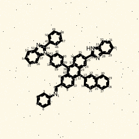 C(=N\c1ccccc1)/c1ccc2c(-c3ccc4ccccc4c3)c3cc(-c4nc5ccccc5[nH]4)ccc3c(-c3ccc(-n4c(-c5ccccc5)nc5ccccc54)cc3)c2c1